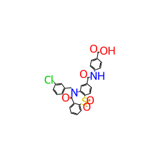 O=C(O)c1ccc(NC(=O)c2ccc3c(c2)N(Cc2cccc(Cl)c2)C(=O)c2ccccc2S3(=O)=O)cc1